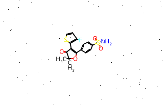 CC1(C)OC(c2ccc(S(N)(=O)=O)cc2)=C(c2sccc2F)C1=O